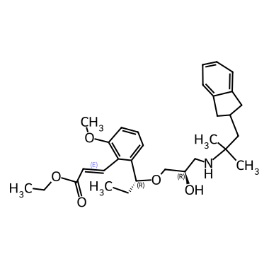 CCOC(=O)/C=C/c1c(OC)cccc1[C@@H](CC)OC[C@H](O)CNC(C)(C)CC1Cc2ccccc2C1